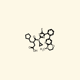 CN1CCOc2cc(-c3ccccc3-c3nc(N(C(=O)C(CC(=O)O)CC4CCCC4)C4CC4)sc3F)cnc21